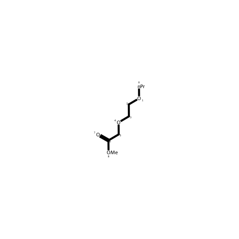 CCCOCCOCC(=O)OC